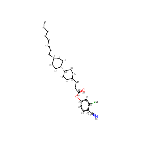 CCCCCCCC[C@H]1CC[C@H](C2CCC(CCC(=O)Oc3ccc(C#N)c(F)c3)CC2)CC1